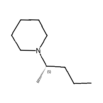 CCC[C@H](C)N1CCCCC1